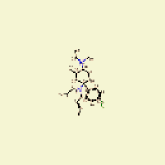 CC=CCN(CCC)C1(c2ccc(Cl)cc2)CCC(N(C)CC)C(C)C1